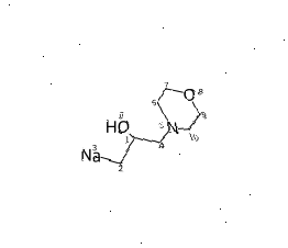 OC([CH2][Na])CN1CCOCC1